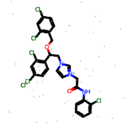 O=C(C[n+]1ccn(CC(OCc2ccc(Cl)cc2Cl)c2ccc(Cl)cc2Cl)c1)Nc1ccccc1Cl.[Cl-]